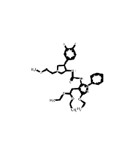 CCOc1nn(-c2ccccc2)c(NC(=O)NC2CN(CCOC)CC2c2ccc(F)c(F)c2)c1CC(OCC)OCC